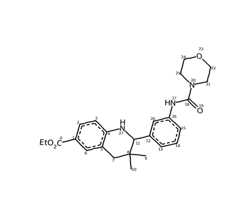 CCOC(=O)c1ccc2c(c1)CC(C)(C)C(c1cccc(NC(=O)N3CCOCC3)c1)N2